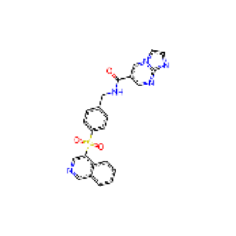 O=C(NCc1ccc(S(=O)(=O)c2cncc3ccccc23)cc1)c1cnc2nccn2c1